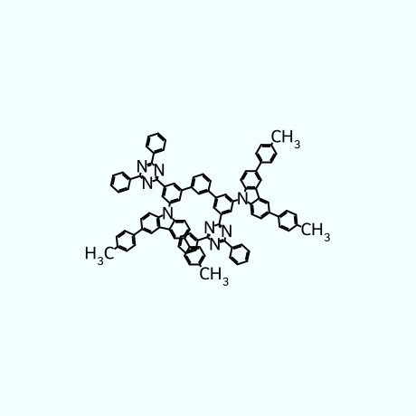 Cc1ccc(-c2ccc3c(c2)c2cc(-c4ccc(C)cc4)ccc2n3-c2cc(-c3cccc(-c4cc(-c5nc(-c6ccccc6)nc(-c6ccccc6)n5)cc(-n5c6ccc(-c7ccc(C)cc7)cc6c6cc(-c7ccc(C)cc7)ccc65)c4)c3)cc(-c3nc(-c4ccccc4)nc(-c4ccccc4)n3)c2)cc1